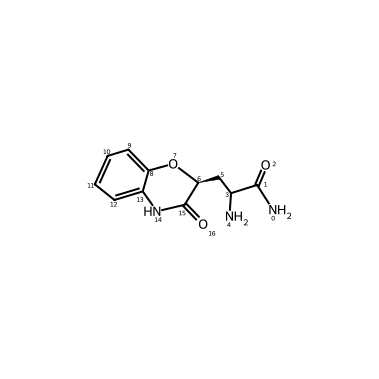 NC(=O)C(N)C[C@@H]1Oc2ccccc2NC1=O